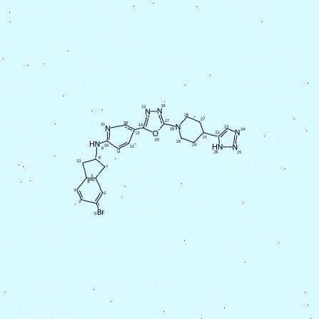 Brc1ccc2c(c1)CC(Nc1ccc(-c3nnc(N4CCC(c5cnn[nH]5)CC4)o3)cn1)C2